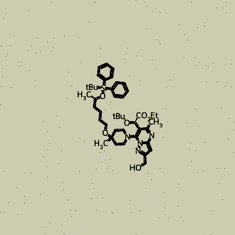 CCOC(=O)[C@@H](OC(C)(C)C)c1c(C)nc2cc(CO)nn2c1N1CCC(C)(OCCCC[C@@H](C)O[Si](c2ccccc2)(c2ccccc2)C(C)(C)C)CC1